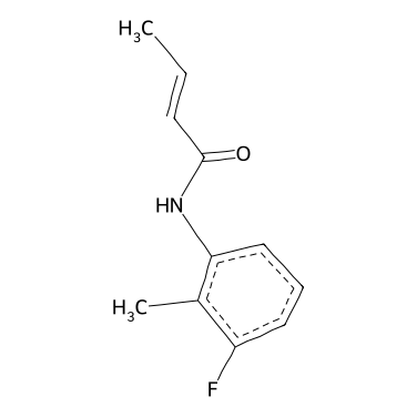 C/C=C/C(=O)Nc1cccc(F)c1C